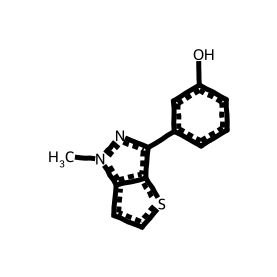 Cn1nc(-c2cccc(O)c2)c2sccc21